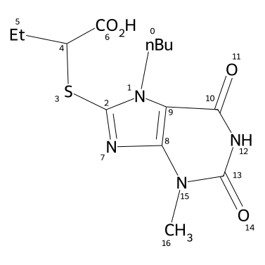 CCCCn1c(SC(CC)C(=O)O)nc2c1c(=O)[nH]c(=O)n2C